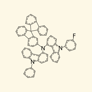 Fc1cccc(-n2c3ccccc3c3c(N(c4ccc5c(c4)C4(c6ccccc6-c6ccccc64)c4ccccc4-5)c4cccc5c4c4ccccc4n5-c4ccccc4)cccc32)c1